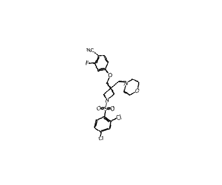 N#Cc1ccc(OCC2(CN3CCOCC3)CN(S(=O)(=O)c3ccc(Cl)cc3Cl)C2)cc1F